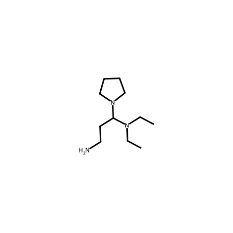 CCN(CC)C(CCN)N1CCCC1